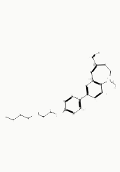 CCCCOCCOc1ccc(-c2ccc3c(c2)C=C(C=O)CCN3C)cc1